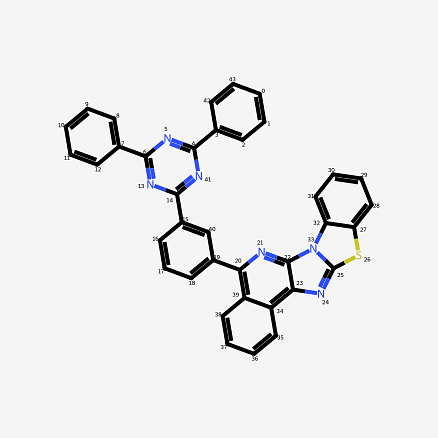 c1ccc(-c2nc(-c3ccccc3)nc(-c3cccc(-c4nc5c(nc6sc7ccccc7n65)c5ccccc45)c3)n2)cc1